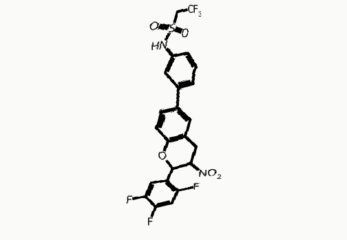 O=[N+]([O-])C1Cc2cc(-c3cccc(NS(=O)(=O)CC(F)(F)F)c3)ccc2OC1c1cc(F)c(F)cc1F